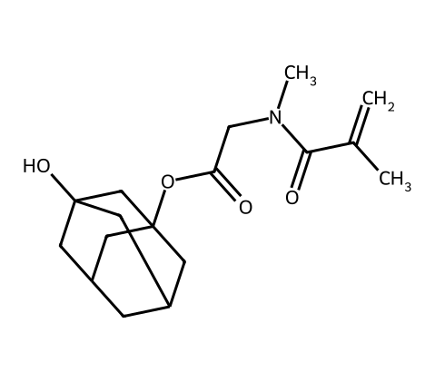 C=C(C)C(=O)N(C)CC(=O)OC12CC3CC(CC(O)(C3)C1)C2